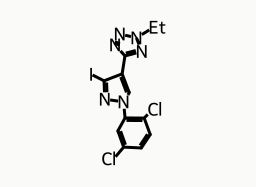 CCn1nnc(-c2cn(-c3cc(Cl)ccc3Cl)nc2I)n1